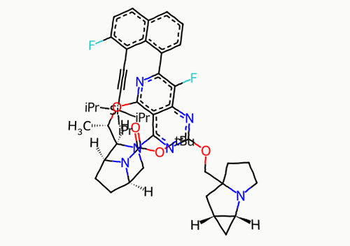 CC(C)[Si](C#Cc1c(F)ccc2cccc(-c3nc4c5c(nc(OCC67CCCN6[C@@H]6C[C@@H]6C7)nc5c3F)N3C[C@H]5CC[C@@H]([C@H]3[C@H](C)O4)N5C(=O)OC(C)(C)C)c12)(C(C)C)C(C)C